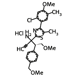 C#CC(N)(c1nc(-c2cc(C)c(OC)cc2Cl)c(C)s1)[C@H](COC)c1ccc(COC)cc1.Cl